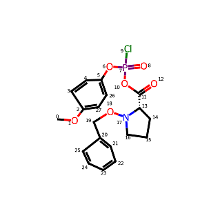 COc1ccc(OP(=O)(Cl)OC(=O)[C@@H]2CCCN2OCc2ccccc2)cc1